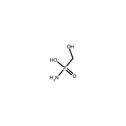 NP(=O)(O)CO